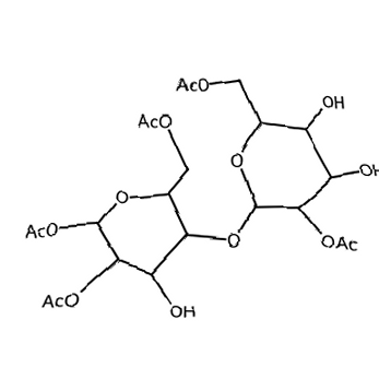 CC(=O)OCC1OC(OC2C(COC(C)=O)OC(OC(C)=O)C(OC(C)=O)C2O)C(OC(C)=O)C(O)C1O